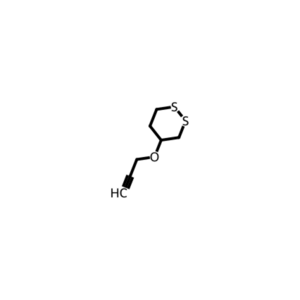 C#CCOC1CCSSC1